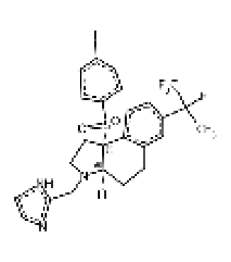 O=S(=O)(c1ccc(I)cc1)[C@@]12CCN(Cc3ncc[nH]3)[C@@H]1CCc1cc(C(F)(C(F)(F)F)C(F)(F)F)ccc12